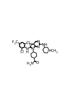 CN1CCCC(Nc2ncc3nc(Nc4c(Cl)cc(C(F)(F)F)cc4Cl)n(C4CCC(C(N)=O)CC4)c3n2)C1